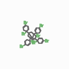 BrC1=CCC(Br)(C23CC4(C5(Br)C=CC(Br)=CC5)CC(C5(Br)C=CC(Br)=CC5)(C2)CC(C2(Br)C=CC(Br)=CC2)(C3)C4)C=C1